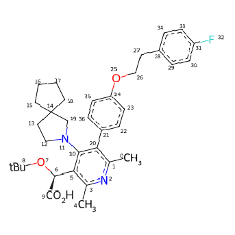 Cc1nc(C)c([C@H](OC(C)(C)C)C(=O)O)c(N2CCC3(CCCC3)C2)c1-c1ccc(OCCc2ccc(F)cc2)cc1